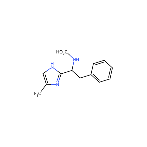 O=C(O)NC(Cc1ccccc1)c1nc(C(F)(F)F)c[nH]1